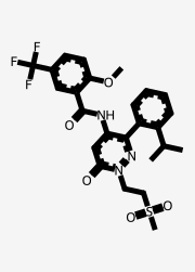 COc1ccc(C(F)(F)F)cc1C(=O)Nc1cc(=O)n(CCS(C)(=O)=O)nc1-c1ccccc1C(C)C